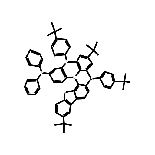 CC(C)(C)c1ccc(N2c3cc(N(c4ccccc4)c4ccccc4)ccc3B3c4c2cc(C(C)(C)C)cc4N(c2ccc(C(C)(C)C)cc2)c2ccc4c(sc5ccc(C(C)(C)C)cc54)c23)cc1